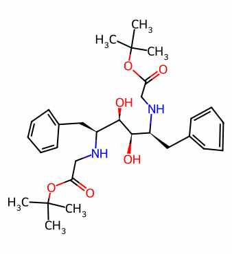 CC(C)(C)OC(=O)CN[C@@H](Cc1ccccc1)[C@@H](O)[C@H](O)[C@H](Cc1ccccc1)NCC(=O)OC(C)(C)C